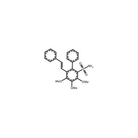 COc1c(C=Cc2ccccc2)c(-c2ccccc2)c(S(N)(=O)=O)c(OC)c1OC